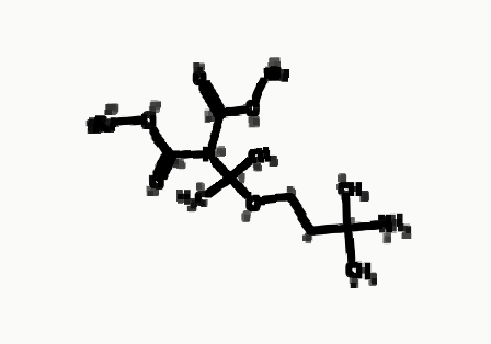 CC(C)(N)CCOC(C)(C)N(C(=O)OC(C)(C)C)C(=O)OC(C)(C)C